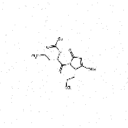 COC1=CC(=O)N(C(=O)[C@H](CCC(Cl)(Cl)Cl)NC(=O)C(C)(C)C)[C@H]1CCC(Cl)(Cl)Cl